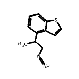 CC(CN=N)c1cccc2sccc12